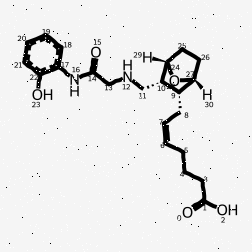 O=C(O)CCC/C=C\C[C@@H]1[C@H](CNCC(=O)Nc2ccccc2O)[C@@H]2CC[C@H]1O2